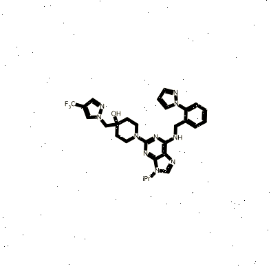 CC(C)n1cnc2c(NCc3ccccc3-n3cccn3)nc(N3CCC(O)(Cn4cc(C(F)(F)F)cn4)CC3)nc21